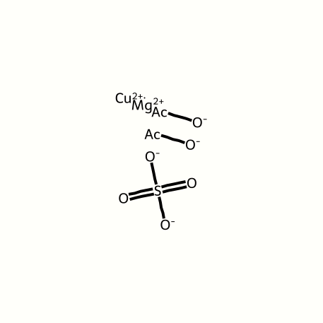 CC(=O)[O-].CC(=O)[O-].O=S(=O)([O-])[O-].[Cu+2].[Mg+2]